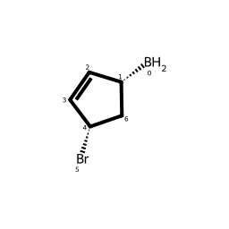 B[C@H]1C=C[C@@H](Br)C1